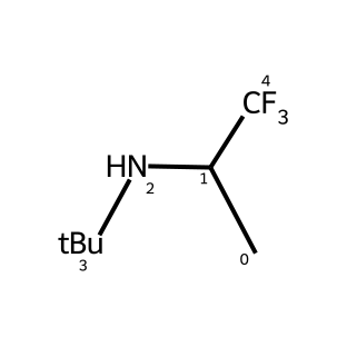 CC(NC(C)(C)C)C(F)(F)F